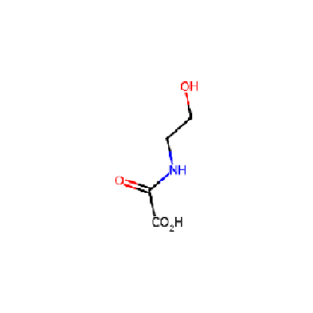 O=C(O)C(=O)NCCO